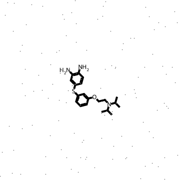 CC(C)N(CCOc1cccc(Sc2ccc(N)c(N)c2)c1)C(C)C